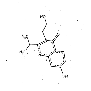 CC(C)c1nc2cc(O)ccc2c(=O)n1CCO